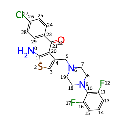 Nc1scc(CN2CCN(c3c(F)cccc3F)CC2)c1C(=O)c1ccc(Cl)cc1